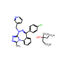 Cc1nnc2n1-c1ccccc1C(c1ccc(Cl)cc1)=NN2Cc1cccnc1.O=C(O)CC(O)(CC(=O)O)C(=O)O